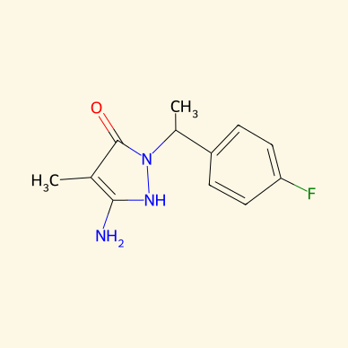 Cc1c(N)[nH]n(C(C)c2ccc(F)cc2)c1=O